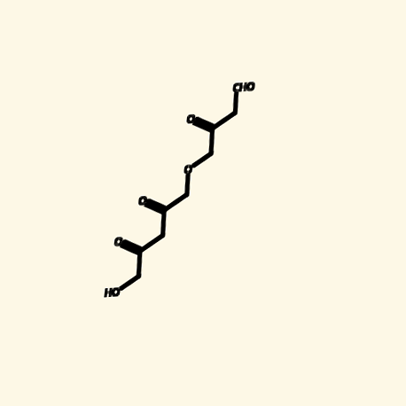 O=CCC(=O)COCC(=O)CC(=O)CO